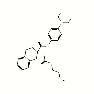 CCN(CC)c1ccc(NC(=O)[C@]2(NC(=O)OCCOC)CCc3ccccc3C2)cc1